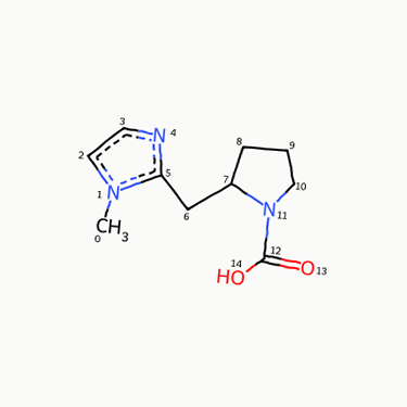 Cn1ccnc1CC1CCCN1C(=O)O